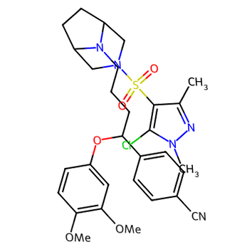 COc1ccc(OC(CCCN2C3CCC2CN(S(=O)(=O)c2c(C)nn(C)c2Cl)C3)c2ccc(C#N)cc2)cc1OC